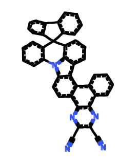 N#Cc1nc2c3ccccc3c3c(ccc4c3c3cccc5c3n4-c3ccccc3C53c4ccccc4-c4ccccc43)c2nc1C#N